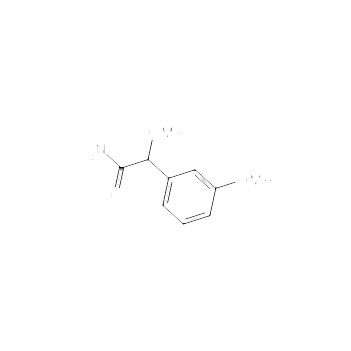 COc1cccc(C(OC)C(N)=O)c1